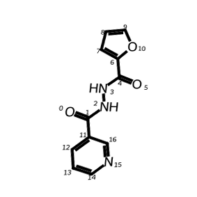 O=C(NNC(=O)c1ccco1)c1cccnc1